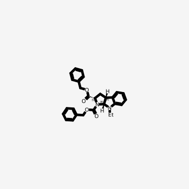 CCN1c2ccccc2[C@H]2C[C@@H](C(=O)OCc3ccccc3)N(C(=O)OCc3ccccc3)[C@H]21